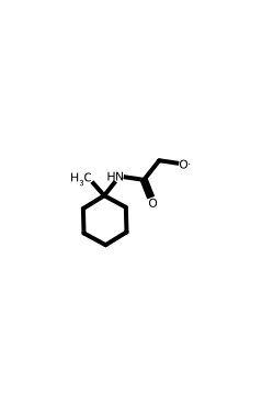 CC1(NC(=O)C[O])CCCCC1